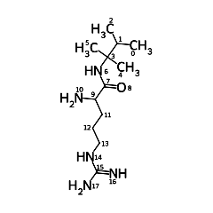 CC(C)C(C)(C)NC(=O)C(N)CCCNC(=N)N